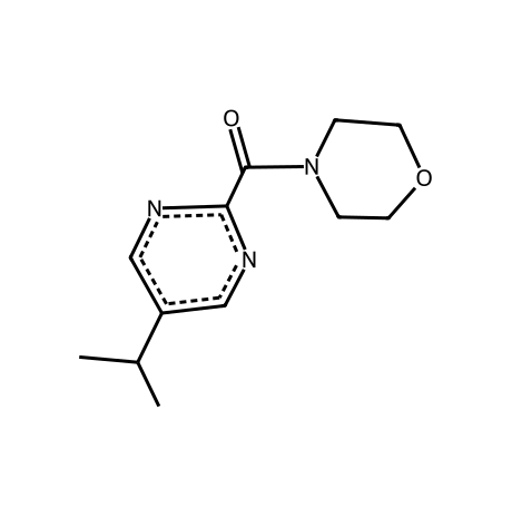 CC(C)c1cnc(C(=O)N2CCOCC2)nc1